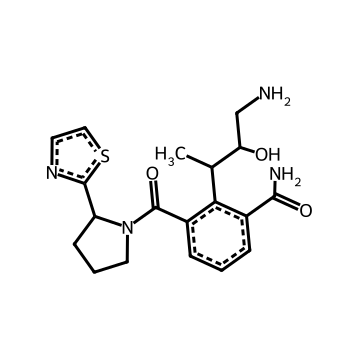 CC(c1c(C(N)=O)cccc1C(=O)N1CCCC1c1nccs1)C(O)CN